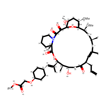 C=CC[C@@H]1/C=C(\C)C[C@H](C)C[C@H](OC)[C@H]2O[C@@](O)(C(=O)C(=O)N3CCCC[C@H]3C(=O)O[C@H](/C(C)=C/[C@H]3CC[C@H](OCC(=O)OC(C)C)CC3)[C@H](C)[C@@H](O)CC1=O)[C@H](C)C[C@@H]2OC